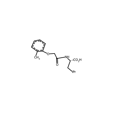 Cc1ccccc1OCC(=O)N[C@@H](CC(C)C)C(=O)O